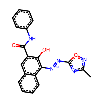 Cc1noc(/N=N/c2c(O)c(C(=O)Nc3ccccc3)cc3ccccc23)n1